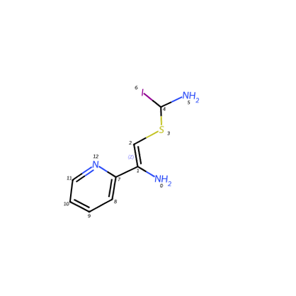 N/C(=C\SC(N)I)c1ccccn1